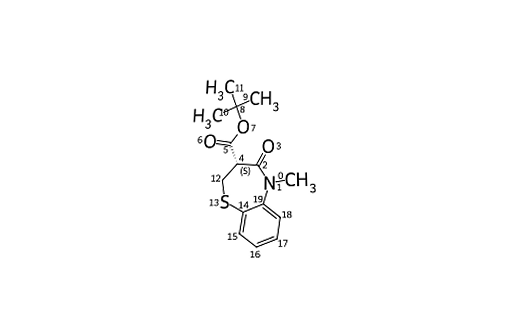 CN1C(=O)[C@@H](C(=O)OC(C)(C)C)CSc2ccccc21